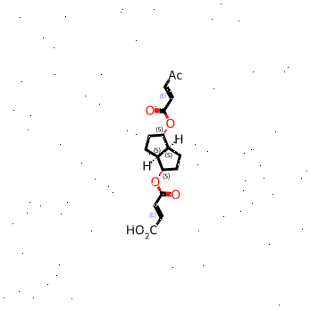 CC(=O)/C=C/C(=O)O[C@H]1CC[C@H]2[C@@H]1CC[C@@H]2OC(=O)/C=C/C(=O)O